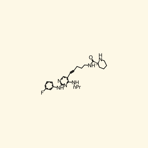 CCCNc1nc(Nc2cccc(F)c2)ncc1C#CCCCNC(=O)[C@@H]1CCCCN1